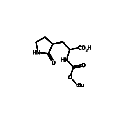 CC(C)(C)OC(=O)NC(C[C@@H]1CCNC1=O)C(=O)O